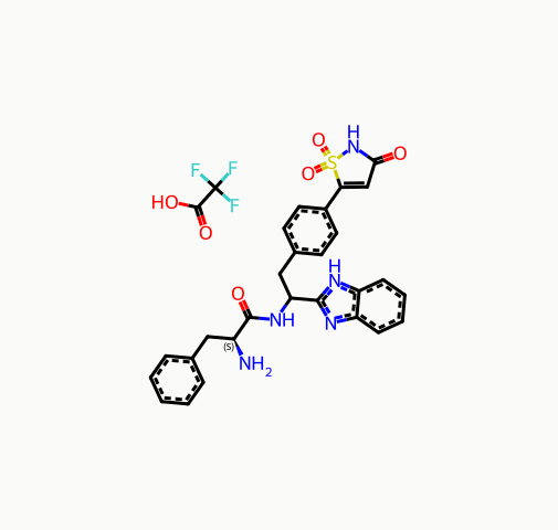 N[C@@H](Cc1ccccc1)C(=O)NC(Cc1ccc(C2=CC(=O)NS2(=O)=O)cc1)c1nc2ccccc2[nH]1.O=C(O)C(F)(F)F